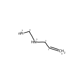 C=CCN[CH]CCC